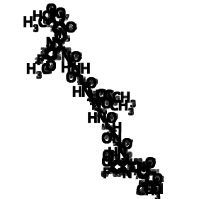 CC[C@@]1(O)C(=O)OCc2c1cc1n(c2=O)Cc2c-1nc1cc(F)c(OC)cc1c2CNC(=O)CNC(=O)CCC(=O)NCCN(CCNC(=O)CCC(=O)NCC(=O)NCc1c2c(nc3cc(F)c(OC)cc13)-c1cc3c(c(=O)n1C2)COC(=O)[C@]3(O)CC)C(=O)OC(C)(C)C